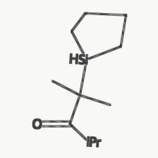 CC(C)C(=O)C(C)(C)[SiH]1CCCC1